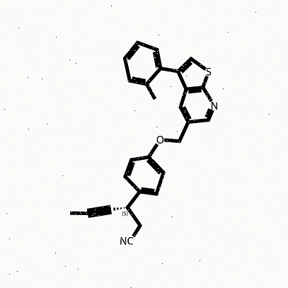 CC#C[C@@H](CC#N)c1ccc(OCc2cnc3scc(-c4ccccc4C)c3c2)cc1